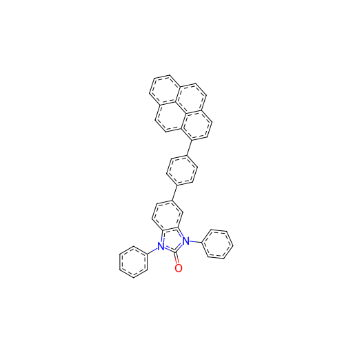 O=c1n(-c2ccccc2)c2ccc(-c3ccc(-c4ccc5ccc6cccc7ccc4c5c67)cc3)cc2n1-c1ccccc1